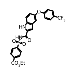 CCOC(=O)c1ccc(S(=O)(=O)NC(=O)c2cc3cc(Oc4ccc(C(F)(F)F)cc4)ccc3[nH]2)cc1